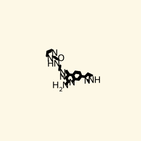 Nc1nc2cc(-c3cc[nH]n3)ccc2c2cn(CCNC(=O)c3ncccn3)nc12